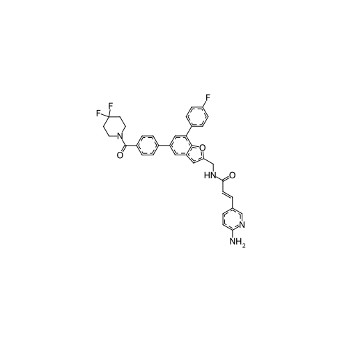 Nc1ccc(/C=C/C(=O)NCc2cc3cc(-c4ccc(C(=O)N5CCC(F)(F)CC5)cc4)cc(-c4ccc(F)cc4)c3o2)cn1